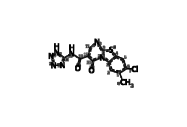 Cc1cc2c(cc1Cl)sc1ncc(C(=O)Nc3nnn[nH]3)c(=O)n12